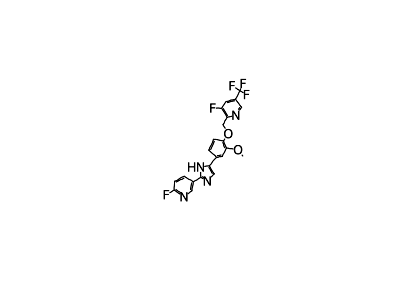 COc1cc(-c2cnc(-c3ccc(F)nc3)[nH]2)ccc1OCc1ncc(C(F)(F)F)cc1F